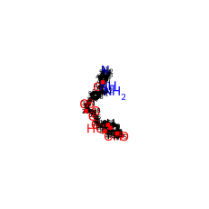 C[C@]12C=CC(=O)C=C1CC[C@@H]1[C@@H]2[C@@H](O)C[C@@]2(C)[C@H]1CC[C@]2(O)C1OC1COC(=O)C1CC1C(=O)OCc1ccc(C(CN)C(=O)Nc2ccc3cnccc3c2)cc1